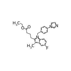 CCOC(=O)CCCc1c(C)c2cc(F)ccc2n1Cc1ccc(-n2ccnc2)cc1